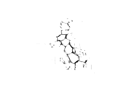 CN(C)c1cc(CN2CCC(N)CC2)c(O)c2c1CC1CC3[C@H](N(C)C)C(O)=C(C(N)=O)C(=O)C3(O)C(O)=C1C2=O